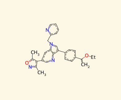 C=C(OCC)c1ccc(-c2cn(Cc3ccccn3)c3cc(-c4c(C)noc4C)cnc23)cc1